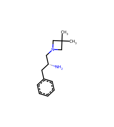 CC1(C)CN(C[C@H](N)Cc2ccccc2)C1